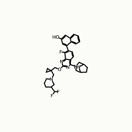 Oc1cc(-c2ccc3c(N4CC5CCC(C4)N5)nc(OCC4(CN5CCCC(C(F)F)C5)CC4)nc3c2F)c2ccccc2c1